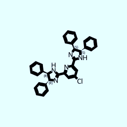 Clc1cc(C2=N[C@H](c3ccccc3)[C@@H](c3ccccc3)N2)nc(C2=N[C@@H](c3ccccc3)[C@H](c3ccccc3)N2)c1